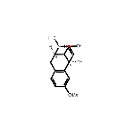 CCNC1[C@H]2Cc3ccc(OC)cc3[C@]1(C)C=CN2C